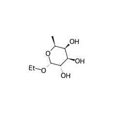 CCO[C@@H]1O[C@@H](C)[C@@H](O)[C@@H](O)[C@@H]1O